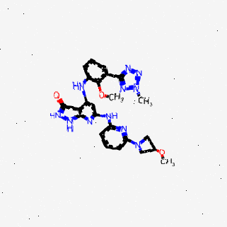 COc1c(Nc2cc(Nc3cccc(N4CC(OC)C4)n3)nc3[nH][nH]c(=O)c23)cccc1-c1nnn(C)n1